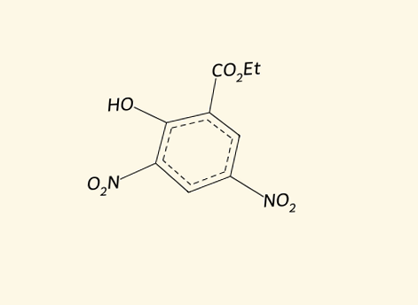 CCOC(=O)c1cc([N+](=O)[O-])cc([N+](=O)[O-])c1O